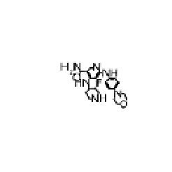 NC(=O)c1cnc(Nc2ccc(N3CCOCC3)cc2)cc1N[C@@H]1CCNC[C@@H]1F